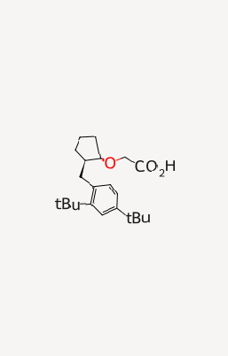 CC(C)(C)c1ccc(C[C@H]2CCC[C@H]2OCC(=O)O)c(C(C)(C)C)c1